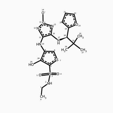 CCNS(=O)(=O)c1scc(Nc2n[s+]([O-])nc2N[C@@H](c2ccco2)C(C)(C)C)c1O